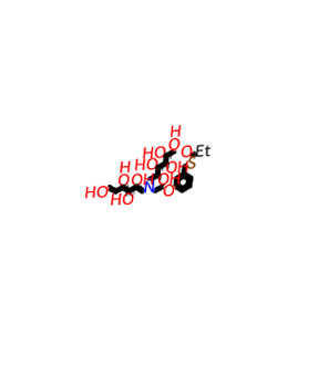 CCC(=O)SCc1cccc(OCCN(C[C@@H](O)[C@@H](O)[C@H](O)CCO)C[C@@H](O)[C@@H](O)[C@H](O)[C@H](O)CO)c1